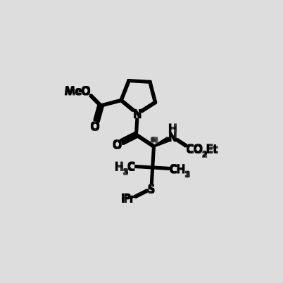 CCOC(=O)N[C@H](C(=O)N1CCCC1C(=O)OC)C(C)(C)SC(C)C